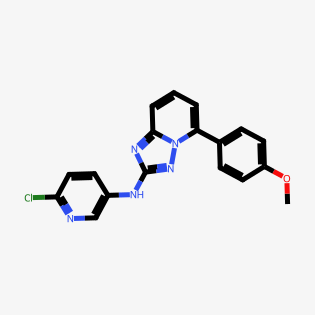 COc1ccc(-c2cccc3nc(Nc4ccc(Cl)nc4)nn23)cc1